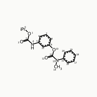 CC(C)OC(=O)Nc1cccc(OC(=O)N(C)c2ccccc2)c1